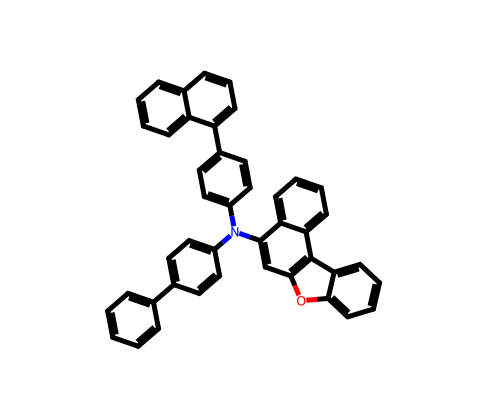 c1ccc(-c2ccc(N(c3ccc(-c4cccc5ccccc45)cc3)c3cc4oc5ccccc5c4c4ccccc34)cc2)cc1